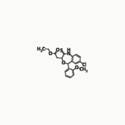 CCOC(=O)CC1OC(c2ccccc2OC)c2cc(Cl)ccc2NC1=S